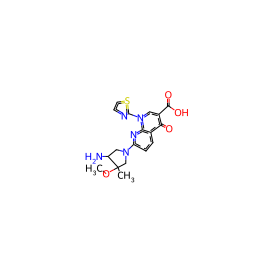 COC1(C)CN(c2ccc3c(=O)c(C(=O)O)cn(-c4nccs4)c3n2)CC1N